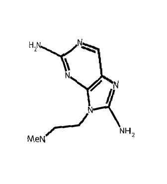 CNCCn1c(N)nc2cnc(N)nc21